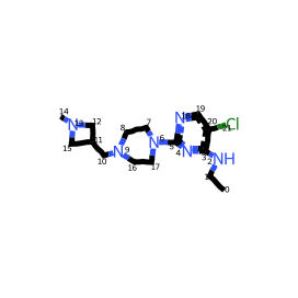 CCNc1nc(N2CCN(CC3CN(C)C3)CC2)ncc1Cl